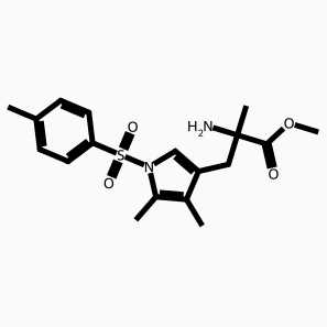 COC(=O)C(C)(N)Cc1cn(S(=O)(=O)c2ccc(C)cc2)c(C)c1C